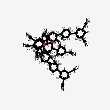 N#Cc1cc(C#N)cc(-c2ccc3c4ccc(-c5cc(C#N)cc(C#N)c5)cc4n(-c4cc(C#N)cc(-n5c6cc(-c7cc(C#N)cc(C#N)c7)ccc6c6ccc(-c7cc(C#N)cc(C#N)c7)cc65)c4-c4cc(C#N)cc(C(F)(F)F)c4)c3c2)c1